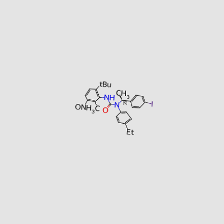 CCc1ccc(N(C(=O)Nc2c(C(C)(C)C)ccc(N=O)c2C)[C@@H](C)c2ccc(I)cc2)cc1